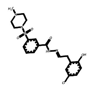 CN1CCN(S(=O)(=O)c2cccc(C(=O)N/N=C/Cc3cc(Cl)ccc3O)c2)CC1